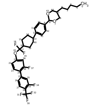 CCCCCC1COC(c2ccc(C3CCC(C(F)(F)Oc4ccc(-c5ccc(C(F)(F)F)c(F)c5)c(F)c4)CC3)cc2)OC1